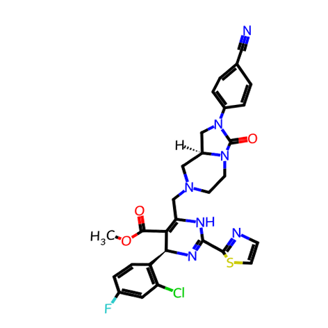 COC(=O)C1=C(CN2CCN3C(=O)N(c4ccc(C#N)cc4)C[C@@H]3C2)NC(c2nccs2)=N[C@H]1c1ccc(F)cc1Cl